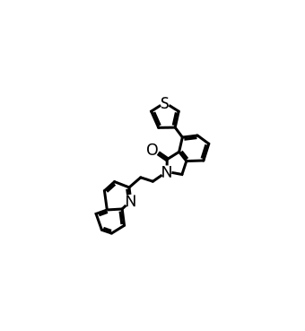 O=C1c2c(cccc2-c2ccsc2)CN1CCc1ccc2ccccc2n1